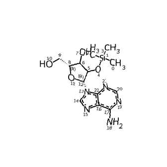 C[Si](C)(C)OC1C(O)[C@@H](CO)O[C@H]1n1cnc2c(N)ncnc21